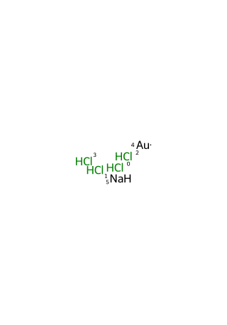 Cl.Cl.Cl.Cl.[Au].[NaH]